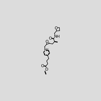 C=COC(=O)CCCc1cc[n+](CC2OC2CC(=C)C(=O)NCC2CCO2)cc1